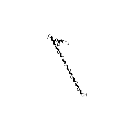 C=CCC(COCCOCCOCCOCCOCCOCCOCCOCCO)OC(=O)C=C